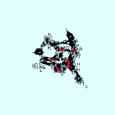 CC(C)C[C@@H]1NC(=O)[C@H](Cc2cccc(NC(=O)CCCS(N)(=O)=O)c2)NC(=O)[C@H](CC(=O)O)NC(=O)[C@H]2CCCN2C(=O)[C@H](CCC(=O)O)NC(=O)[C@H]2NC(=O)[C@@H](NC(=O)CN3CCN(CC(=O)O)CCN(CC(=O)O)CCN(CC(=O)O)CC3)CCC(=O)NC[C@H](NC(=O)[C@H](Cc3c[nH]c4ccccc34)NC(=O)[C@H]([C@@H](C)O)NC1=O)C(=O)N[C@H](C(N)=O)CSCc1cccc(c1)CS2